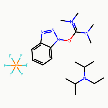 CCN(C(C)C)C(C)C.CN(C)C(On1nnc2ccccc21)=[N+](C)C.F[P-](F)(F)(F)(F)F